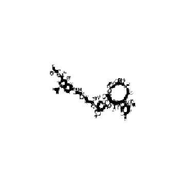 CC[C@H]1OC(=O)[C@H](C)[C@@H](OC2C[C@](C)(OC)[C@@H](OC(=O)CCOCCNc3ccc4c(c3)c(=O)c(C(=O)OCC(C)=O)cn4C3CC3)[C@H](C)O2)[C@H](C)[C@@H](OC2O[C@H](C)C[C@H](N(C)C)[C@H]2O)[C@](C)(O)C[C@@H](C)CN(C)[C@H](C)[C@@H](O)[C@]1(C)O